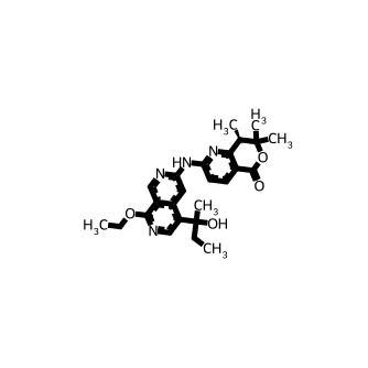 CCOc1ncc(C(C)(O)CC)c2cc(Nc3ccc4c(n3)[C@@H](C)C(C)(C)OC4=O)ncc12